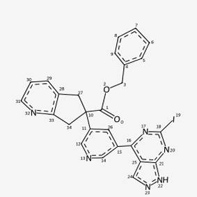 O=C(OCc1ccccc1)C1(c2cncc(-c3nc(I)nc4[nH]ncc34)c2)Cc2cccnc2C1